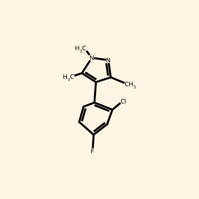 Cc1nn(C)c(C)c1-c1ccc(F)cc1Cl